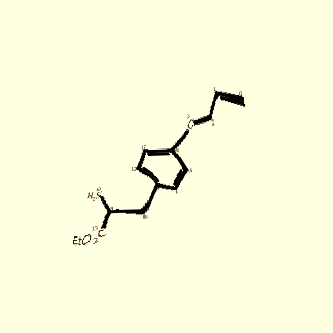 C=CCOc1ccc(CC([SiH3])C(=O)OCC)cc1